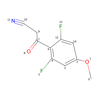 COc1cc(F)c(C(=O)CC#N)c(F)c1